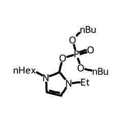 CCCCCCN1C=CN(CC)C1OP(=O)(OCCCC)OCCCC